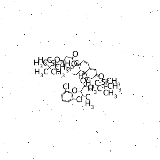 CCC(Oc1c(Cl)cccc1Cl)C(=O)O[C@H]1C[C@H](O[Si](C)(C)C(C)(C)C)C=C2C=C[C@H](C)C(CC[C@@H]3C[C@@H](O[Si](C)(C)C(C)(C)C)CC(=O)O3)[C@H]21